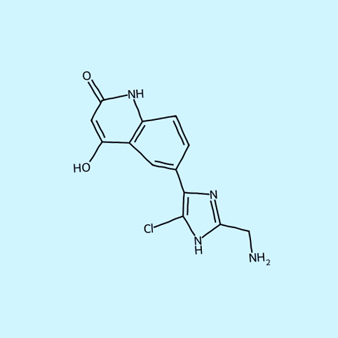 NCc1nc(-c2ccc3[nH]c(=O)cc(O)c3c2)c(Cl)[nH]1